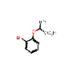 CCCC(Oc1ccccc1Br)C(=O)O